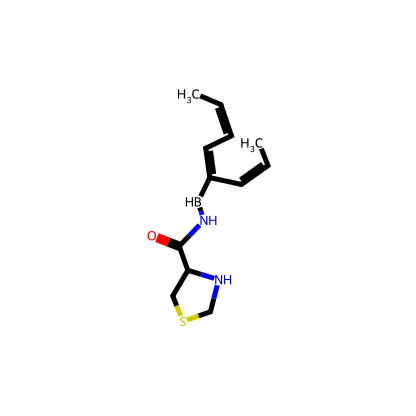 C\C=C/C=C(BNC(=O)C1CSCN1)\C=C/C